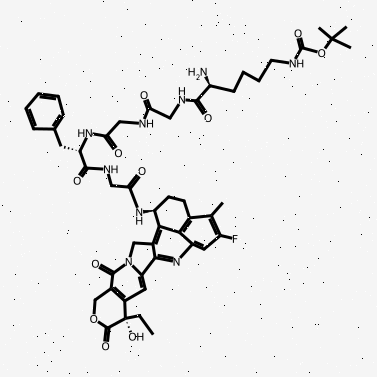 CC[C@@]1(O)C(=O)OCc2c1cc1n(c2=O)Cc2c-1nc1cc(F)c(C)c3c1c2[C@@H](NC(=O)CNC(=O)[C@H](Cc1ccccc1)NC(=O)CNC(=O)CNC(=O)[C@@H](N)CCCCNC(=O)OC(C)(C)C)CC3